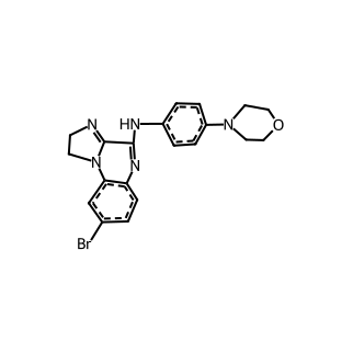 Brc1ccc2c(c1)N1CCN=C1C(Nc1ccc(N3CCOCC3)cc1)=N2